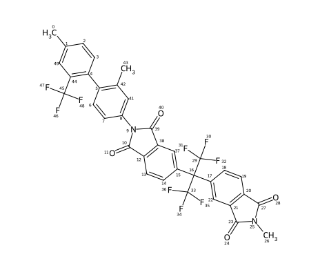 Cc1ccc(-c2ccc(N3C(=O)c4ccc(C(c5ccc6c(c5)C(=O)N(C)C6=O)(C(F)(F)F)C(F)(F)F)cc4C3=O)cc2C)c(C(F)(F)F)c1